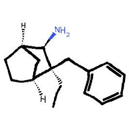 CC[C@]1(Cc2ccccc2)[C@H]2CC[C@H](C2)[C@H]1N